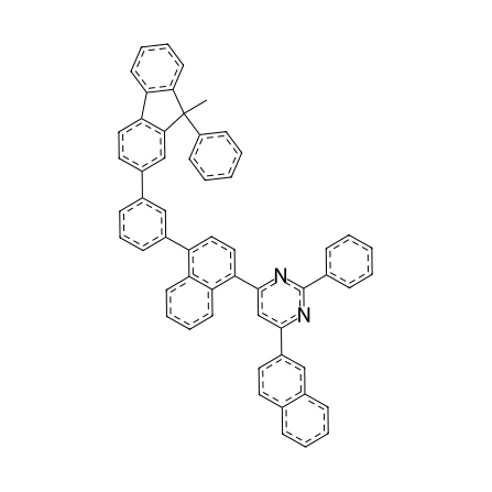 CC1(c2ccccc2)c2ccccc2-c2ccc(-c3cccc(-c4ccc(-c5cc(-c6ccc7ccccc7c6)nc(-c6ccccc6)n5)c5ccccc45)c3)cc21